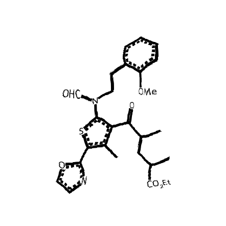 CCOC(=O)C(C)CC(C)C(=O)c1c(N(C=O)CCc2ccccc2OC)sc(-c2ncco2)c1C